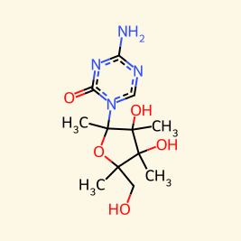 CC1(CO)OC(C)(n2cnc(N)nc2=O)C(C)(O)C1(C)O